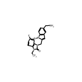 CCCn1c(Cn2c(=O)n(CC(F)(F)F)c3ccc(F)cc32)cc2cc(CN)ccc21